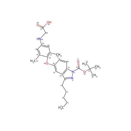 CCCCCc1nn(C(=O)OC(C)(C)C)c2ccc(Oc3c(C)cc(NCC(=O)O)cc3C)cc12